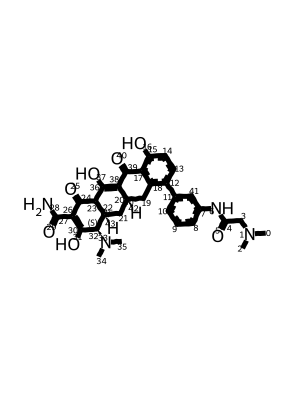 CN(C)CC(=O)Nc1cccc(-c2ccc(O)c3c2C[C@H]2C[C@@H]4C(C(=O)C(C(N)=O)=C(O)[C@H]4N(C)C)C(O)=C2C3=O)c1